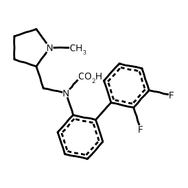 CN1CCCC1CN(C(=O)O)c1ccccc1-c1cccc(F)c1F